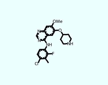 COc1cc2ncnc(Nc3ccc(Cl)c(C)c3F)c2cc1OC1CCNCC1